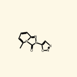 Cc1cccc2nn(-c3cnno3)c(=O)n12